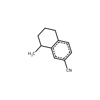 CC1CCCc2ccc(C#N)cc21